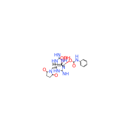 N=C1N[C@H]2[C@H](CN3C(=O)CCC3=O)NC(=N)N3C[C@H](OC(=O)Nc4ccccc4)C(O)(O)C23N1